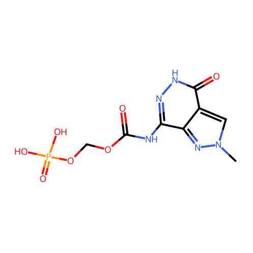 Cn1cc2c(=O)[nH]nc(NC(=O)OCOP(=O)(O)O)c2n1